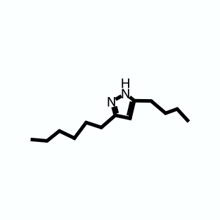 CCCCCCc1cc(CCCC)[nH]n1